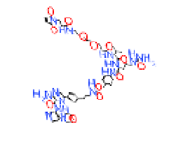 CC(C)[C@H](NC(=O)CCOCCOCCNC(=O)CCN1C(=O)C=CC1=O)C(=O)N[C@@H](CCCNC(N)=O)C(=O)Nc1ccc(COC(=O)NCCCc2ccc(-c3cnc(N)c(C(=O)Nc4cnccc4N4CCOCC4)n3)cc2)cc1